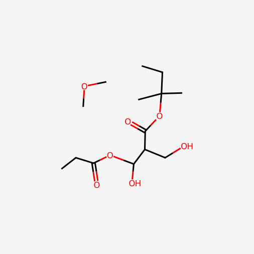 CCC(=O)OC(O)C(CO)C(=O)OC(C)(C)CC.COC